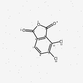 O=C1OC(=O)c2c1ccc(Cl)c2Cl